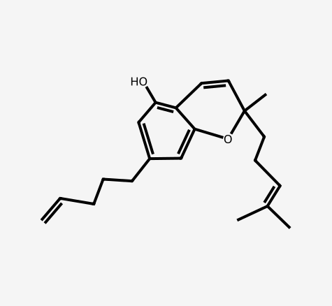 C=CCCCc1cc(O)c2c(c1)OC(C)(CCC=C(C)C)C=C2